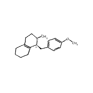 COc1ccc(C[C@H]2C3=C(CCCC3)CCN2C)cc1